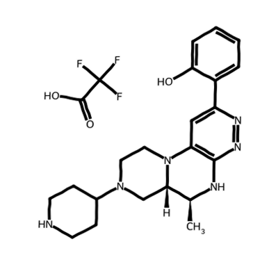 C[C@@H]1Nc2nnc(-c3ccccc3O)cc2N2CCN(C3CCNCC3)C[C@@H]12.O=C(O)C(F)(F)F